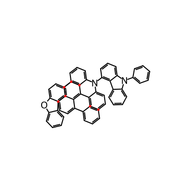 C1=c2cccc(-c3ccccc3)c2=C(c2ccccc2N(c2cccc(-c3ccc4oc5ccccc5c4c3)c2)c2cccc3c2c2ccccc2n3-c2ccccc2)CC1